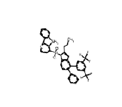 CCCC1=Cc2c(ccc(-c3ccccc3)c2-c2cc(C(F)(F)F)cc(C(F)(F)F)c2)[CH]1[Zr]([Cl])([Cl])[c]1cccc2c1[SiH2]c1ccccc1-2